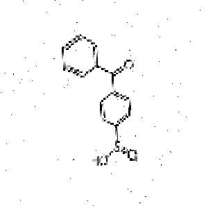 O=C(c1ccccc1)c1ccc(S(=O)O)cc1